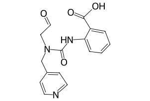 O=CCN(Cc1ccncc1)C(=O)Nc1ccccc1C(=O)O